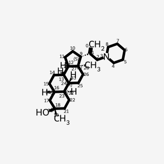 C=C(CN1CCCCC1)[C@H]1CC[C@H]2[C@@H]3CC[C@H]4C[C@@](C)(O)CC[C@@H]4[C@H]3CC[C@]12C